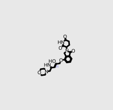 N=C(/C=C(\O)COc1cccc2c1CN(C1CCC(=O)NC1=O)C2=O)CN1CCOCC1